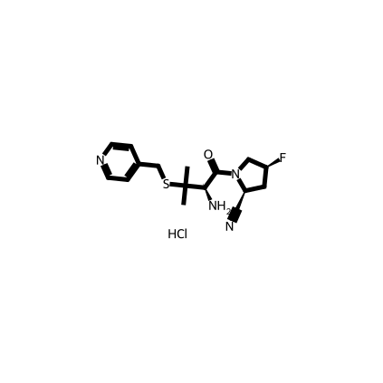 CC(C)(SCc1ccncc1)[C@H](N)C(=O)N1C[C@@H](F)C[C@H]1C#N.Cl